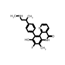 CNCC(C)c1ccc(-c2c(O)c(F)c(C)c3[nH]c(=O)c4cccnc4c23)cc1